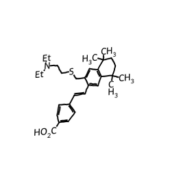 CCN(CC)CCSCc1cc2c(cc1/C=C/c1ccc(C(=O)O)cc1)C(C)(C)CCC2(C)C